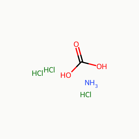 Cl.Cl.Cl.N.O=C(O)O